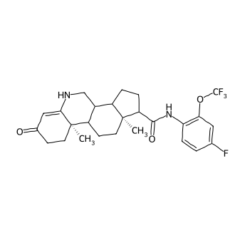 C[C@]12CCC3C(CNC4=CC(=O)CC[C@@]43C)C1CCC2C(=O)Nc1ccc(F)cc1OC(F)(F)F